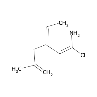 C=C(C)CC(=C/C)/C=C(\N)Cl